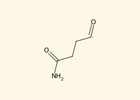 NC(=O)CC[C]=O